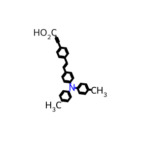 Cc1ccc(N(c2ccc(C)cc2)c2ccc(C=Cc3ccc(C#CC(=O)O)cc3)cc2)cc1